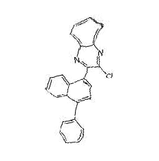 Clc1nc2ccccc2nc1-c1ccc(-c2ccccc2)c2ccccc12